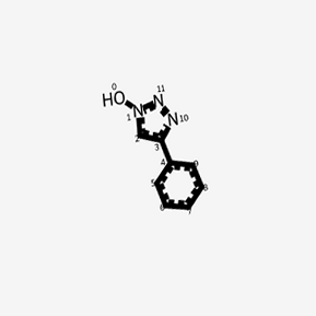 On1cc(-c2ccccc2)nn1